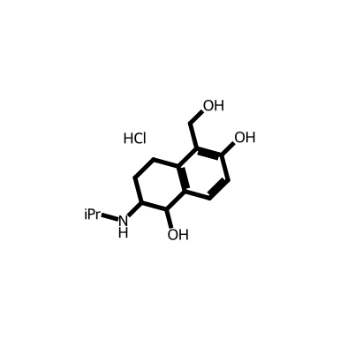 CC(C)NC1CCc2c(ccc(O)c2CO)C1O.Cl